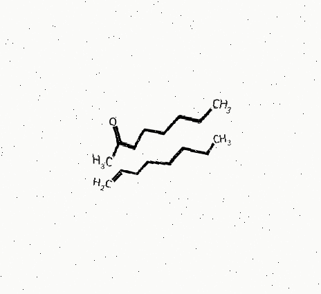 C=CCCCCCC.CCCCCCC(C)=O